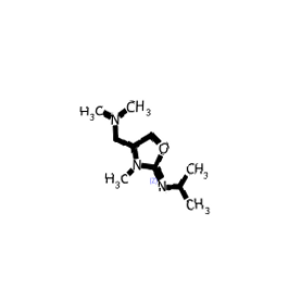 CC(C)/N=C1\OCC(CN(C)C)N1C